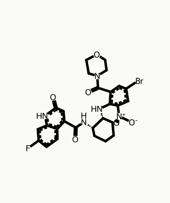 O=C(N[C@H]1CCCC[C@H]1Nc1c(C(=O)N2CCOCC2)cc(Br)cc1[N+](=O)[O-])c1cc(=O)[nH]c2cc(F)ccc12